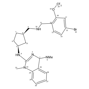 CNC1N=C(N[C@H]2CC[C@@H](CNCc3ccc(Br)cc3OC(F)(F)F)C2)N(C)c2ccccc21